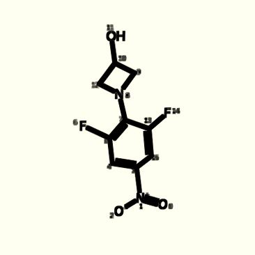 O=[N+]([O-])c1cc(F)c(N2CC(O)C2)c(F)c1